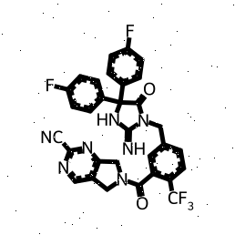 N#Cc1ncc2c(n1)CN(C(=O)c1cc(CN3C(=N)NC(c4ccc(F)cc4)(c4ccc(F)cc4)C3=O)ccc1C(F)(F)F)C2